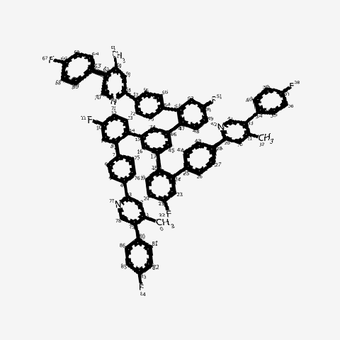 Cc1cc(-c2ccc(-c3cc(F)ccc3-c3cc(-c4ccc(F)cc4-c4ccc(-c5cc(C)c(-c6ccc(F)cc6)cn5)cc4)cc(-c4ccc(F)cc4-c4ccc(-c5cc(C)c(-c6ccc(F)cc6)cn5)cc4)c3)cc2)ncc1-c1ccc(F)cc1